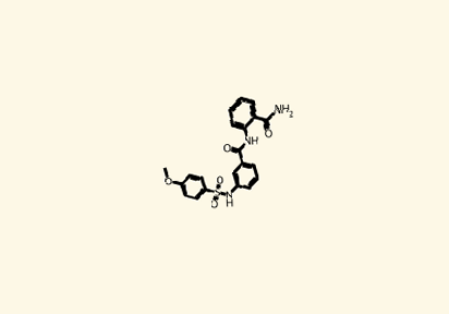 COc1ccc(S(=O)(=O)Nc2cccc(C(=O)Nc3ccccc3C(N)=O)c2)cc1